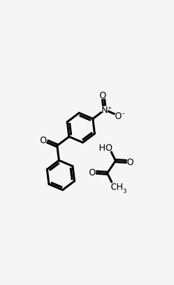 CC(=O)C(=O)O.O=C(c1ccccc1)c1ccc([N+](=O)[O-])cc1